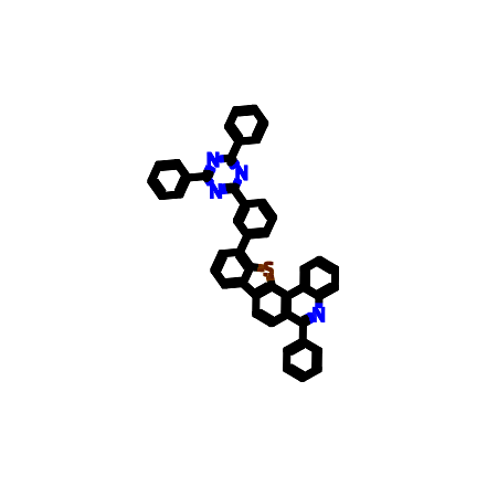 c1ccc(-c2nc(-c3ccccc3)nc(-c3cccc(-c4cccc5c4sc4c5ccc5c(-c6ccccc6)nc6ccccc6c54)c3)n2)cc1